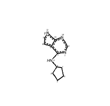 c1nc(NC2CCCC2)c2cc[nH]c2n1